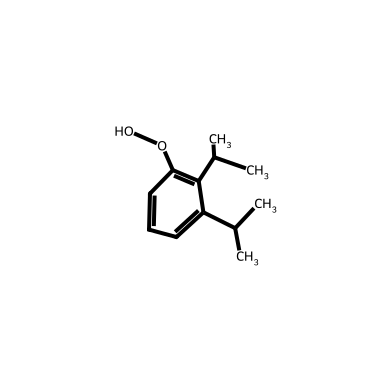 CC(C)c1cccc(OO)c1C(C)C